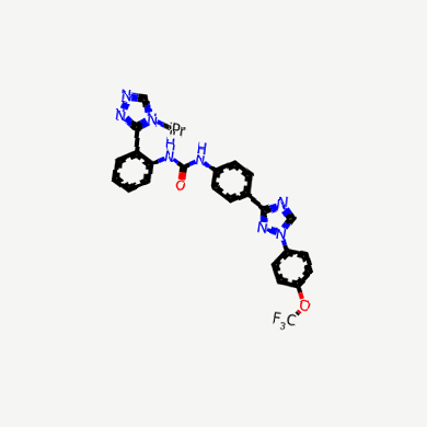 CC(C)n1cnnc1-c1ccccc1NC(=O)Nc1ccc(-c2ncn(-c3ccc(OC(F)(F)F)cc3)n2)cc1